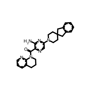 Nc1nc(N2CCC3(CC2)Cc2ccccc2C3)cnc1C(=O)N1CCCc2cccnc21